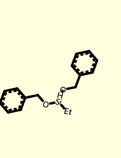 CC[SiH](OCc1ccccc1)OCc1ccccc1